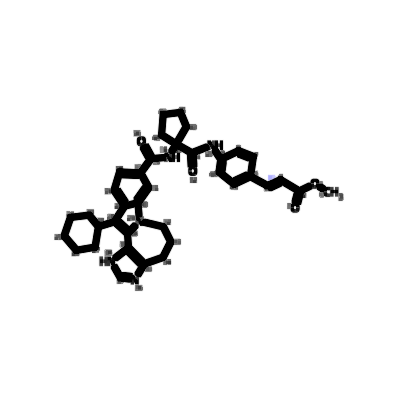 COC(=O)/C=C/c1ccc(NC(=O)C2(NC(=O)c3ccc4c(C5CCCCC5)c5n(c4c3)CCCc3nc[nH]c3-5)CCCC2)cc1